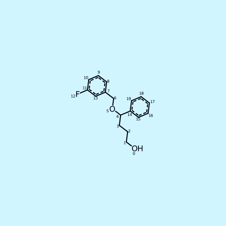 OCCCC(OCc1cccc(F)c1)c1ccccc1